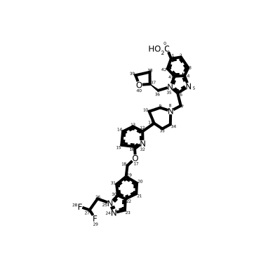 O=C(O)c1ccc2nc(CN3CCC(c4cccc(OCc5ccc6cnn(CC(F)F)c6c5)n4)CC3)n(C[C@@H]3CCO3)c2c1